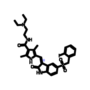 CCN(CC)CCNC(=O)c1c(C)[nH]c(/C=C2\C(=O)Nc3ccc(S(=O)(=O)Cc4ccccc4I)cc32)c1C